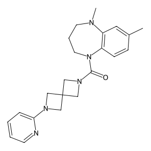 Cc1ccc2c(c1)N(C)CCCN2C(=O)N1CC2(C1)CN(c1ccccn1)C2